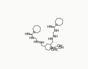 N=C(NCNNCC1CCCC(CNNCNC(=N)N2CCCCCC2)C1)N1CCCCCC1.O=CO.O=CO